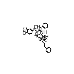 CN(C(=O)[C@H](Cc1ccccc1)NC(O)NS(=O)(=O)CCCc1ccccc1)c1ccc2c(c1)OCO2